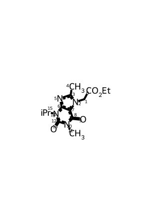 CCOC(=O)Cn1c(C)nc2c1c(=O)n(C)c(=O)n2C(C)C